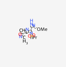 CCCS(=O)(=O)n1cc(-c2c[nH]nc2CCOC)c2ncc(-c3c(C)noc3C)cc21